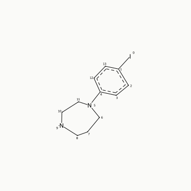 Ic1ccc(N2CCC[N]CC2)cc1